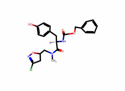 CN(CC1CC(Br)=NO1)C(=O)[C@@](I)(Cc1ccc(O)cc1)NC(=O)OCc1ccccc1